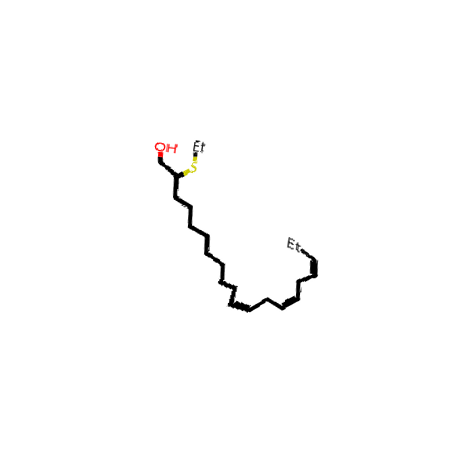 CC/C=C\C/C=C\C/C=C\CCCCCCCCC(CO)SCC